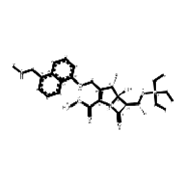 CC[Si](CC)(CC)O[C@H](C)[C@H]1C(=O)N2C(C(=O)OP)=C(COc3cccc4c(CNC)cccc34)[C@H](C)[C@H]12